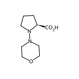 O=C(O)[C@@H]1CCCN1N1CCOCC1